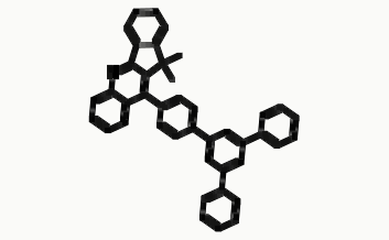 CC1(C)c2ccccc2-c2nc3ccccc3c(-c3ccc(-c4cc(-c5ccccc5)cc(-c5ccccc5)c4)cc3)c21